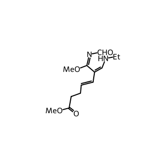 CCN/C=C(/C=C/CCC(=O)OC)C(=N/C=O)\OC